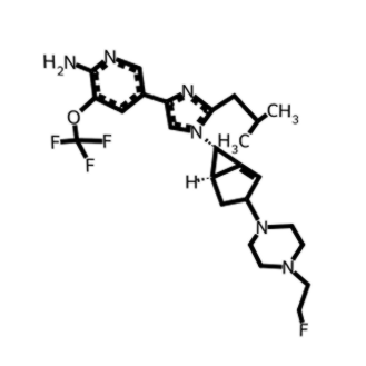 CC(C)Cc1nc(-c2cnc(N)c(OC(F)(F)F)c2)cn1[C@@H]1C2=CC(N3CCN(CCF)CC3)C[C@H]21